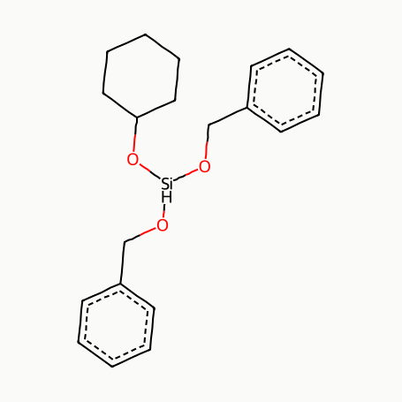 c1ccc(CO[SiH](OCc2ccccc2)OC2CCCCC2)cc1